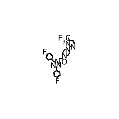 O=C(Cn1nc(-c2ccc(F)cc2)nc1-c1ccc(F)cc1)N1CCN(c2nccc(C(F)(F)F)n2)CC1